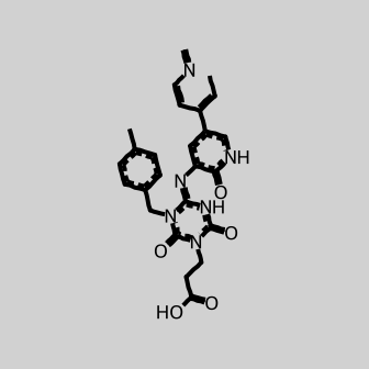 C=N/C=C\C(=C/C)c1c[nH]c(=O)c(/N=c2\[nH]c(=O)n(CCC(=O)O)c(=O)n2Cc2ccc(C)cc2)c1